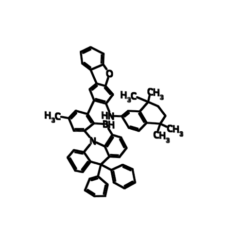 Cc1cc(-c2cc3c(cc2Nc2ccc4c(c2)C(C)(C)CCC4(C)C)oc2ccccc23)c2c(c1)N1c3ccccc3C(c3ccccc3)(c3ccccc3)c3cccc(c31)B2